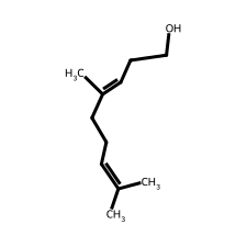 CC(C)=CCCC(C)=CCCO